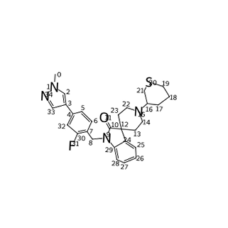 Cn1cc(-c2ccc(CN3C(=O)C4(CCN(C5CCCSC5)CC4)c4ccccc43)c(F)c2)cn1